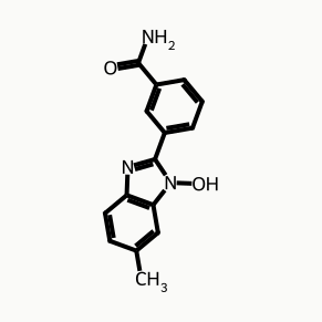 Cc1ccc2nc(-c3cccc(C(N)=O)c3)n(O)c2c1